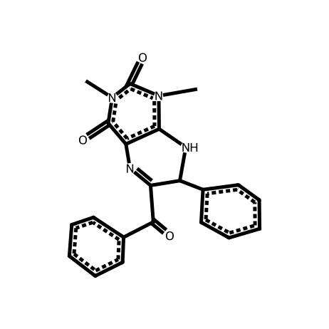 Cn1c2c(c(=O)n(C)c1=O)N=C(C(=O)c1ccccc1)C(c1ccccc1)N2